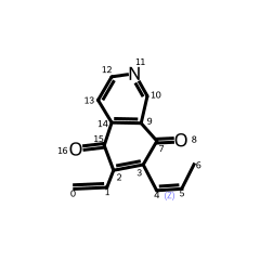 C=CC1=C(/C=C\C)C(=O)c2cnccc2C1=O